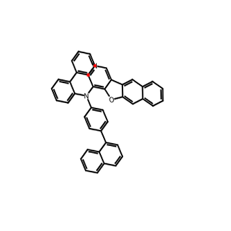 c1ccc(-c2ccccc2N(c2ccc(-c3cccc4ccccc34)cc2)c2cncc3c2oc2cc4ccccc4cc23)cc1